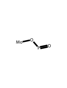 O=P[O][Mo]